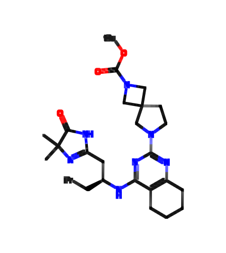 CC(C)C[C@@H](CC1=NC(C)(C)C(=O)N1)Nc1nc(N2CCC3(CN(C(=O)OC(C)(C)C)C3)C2)nc2c1CCCC2